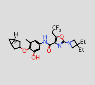 CCC1(CC)CN(c2nc(C(=O)Nc3cc(C)c(OC4CC5C[C@@H]5C4)c(O)c3)c(CC(F)(F)F)o2)C1